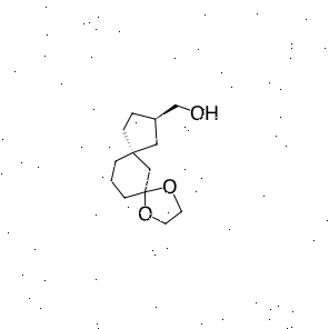 OC[C@@H]1CC[C@]2(CCCC3(C2)OCCO3)C1